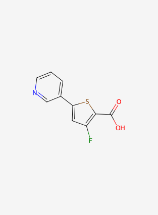 O=C(O)c1sc(-c2cccnc2)cc1F